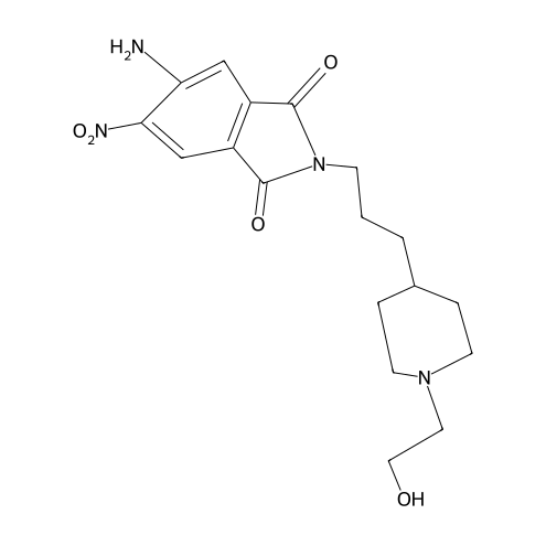 Nc1cc2c(cc1[N+](=O)[O-])C(=O)N(CCCC1CCN(CCO)CC1)C2=O